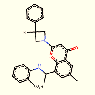 Cc1cc(C(C)Nc2ccccc2C(=O)O)c2oc(N3CC(c4ccccc4)(C(C)C)C3)cc(=O)c2c1